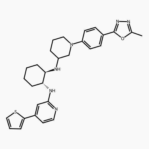 Cc1nnc(-c2ccc(N3CCCC(N[C@@H]4CCCC[C@H]4Nc4cc(-c5cccs5)ccn4)C3)cc2)o1